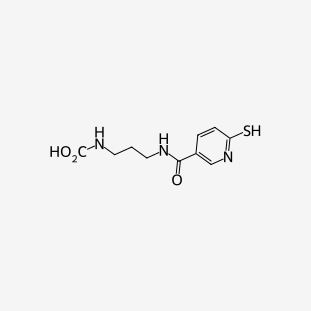 O=C(O)NCCCNC(=O)c1ccc(S)nc1